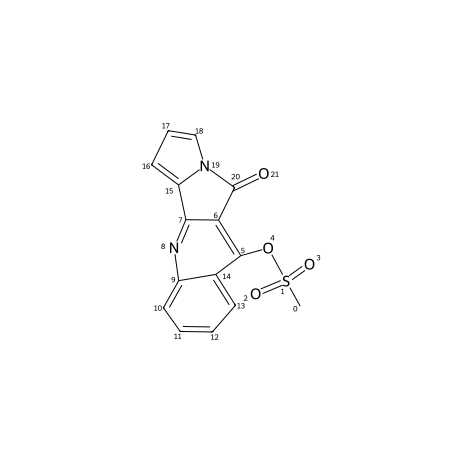 CS(=O)(=O)Oc1c2c(nc3ccccc13)-c1cccn1C2=O